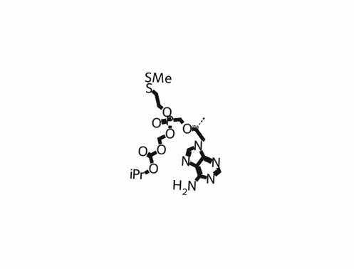 CSSCCOP(=O)(CO[C@H](C)Cn1cnc2c(N)ncnc21)OCOC(=O)OC(C)C